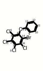 Clc1c(Cl)c(Cl)c(Oc2ccccc2)c(Br)c1Cl